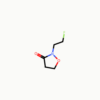 O=C1[CH]CON1CCF